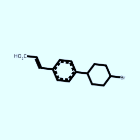 O=C(O)C=Cc1ccc(C2CCC(Br)CC2)cc1